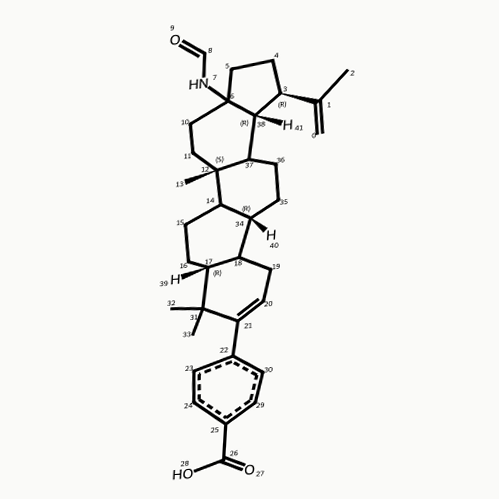 C=C(C)[C@@H]1CCC2(NC=O)CC[C@@]3(C)C4CC[C@@H]5C(CC=C(c6ccc(C(=O)O)cc6)C5(C)C)[C@H]4CCC3[C@@H]12